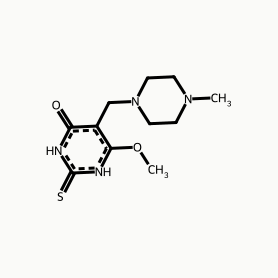 COc1[nH]c(=S)[nH]c(=O)c1CN1CCN(C)CC1